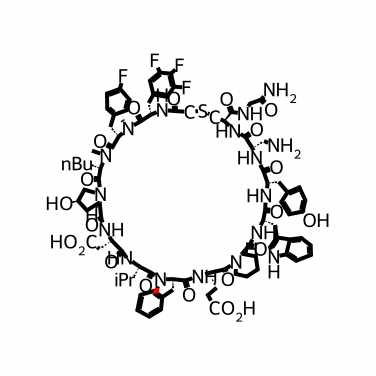 CCCC[C@H]1C(=O)N2C[C@@H](O)C[C@@H]2C(=O)N[C@@H](CC(=O)O)C(=O)N[C@@H](C(C)C)C(=O)N(C)[C@@H](Cc2ccccc2)C(=O)N[C@@H](CCC(=O)O)C(=O)N2CCCC[C@@H]2C(=O)N[C@@H](Cc2c[nH]c3ccccc23)C(=O)N[C@@H](Cc2ccc(O)cc2)C(=O)N[C@@H](CN)C(=O)N[C@H](C(=O)NCC(N)=O)CSCC(=O)N[C@@H](Cc2cc(F)c(F)c(F)c2)C(=O)N(C)[C@@H](Cc2ccc(F)cc2)C(=O)N1C